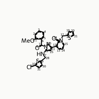 COc1ccccc1C(=O)n1nc(-c2cccn(Cc3cccs3)c2=O)cc1NCc1ccc(Cl)s1